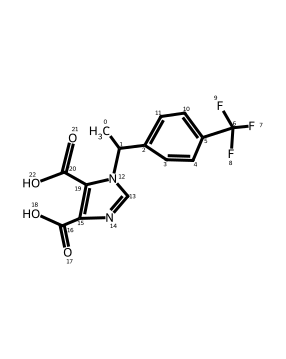 CC(c1ccc(C(F)(F)F)cc1)n1cnc(C(=O)O)c1C(=O)O